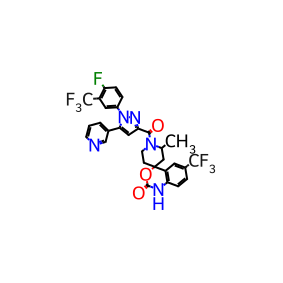 CC1CC2(CCN1C(=O)c1cc(-c3cccnc3)n(-c3ccc(F)c(C(F)(F)F)c3)n1)OC(=O)Nc1ccc(C(F)(F)F)cc12